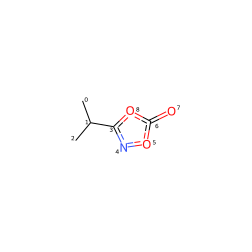 CC(C)c1noc(=O)o1